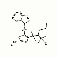 CCCC([Si](C)(C)Cl)[Si](C)(C)C1=[C]([Zr+2][CH]2C=Cc3ccccc32)CC=C1.[Cl-].[Cl-]